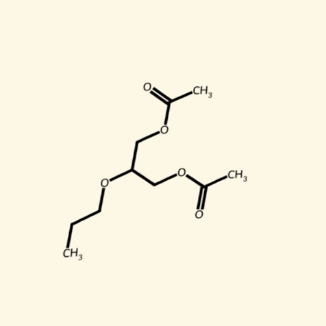 CCCOC(COC(C)=O)COC(C)=O